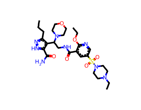 CCCc1n[nH]c(C(N)=O)c1C(CNC(=O)c1cc(S(=O)(=O)N2CCN(CC)CC2)cnc1OCC)N1CCOCC1